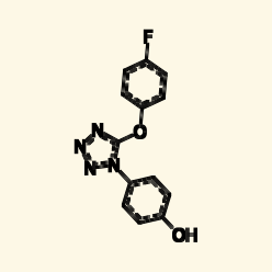 Oc1ccc(-n2nnnc2Oc2ccc(F)cc2)cc1